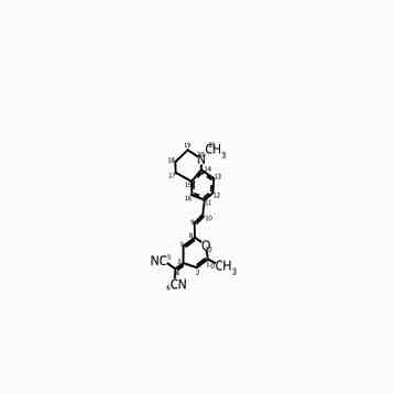 CC1=CC(=C(C#N)C#N)C=C(C=Cc2ccc3c(c2)CCCN3C)O1